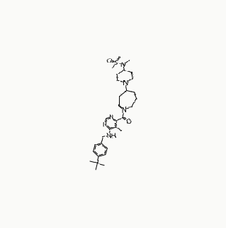 C=S(C)(=O)N(C)C1CCN(C2CCCN(C(=O)c3ncnc(NCc4ccc(C(C)(C)C)cc4)c3C)CC2)CC1